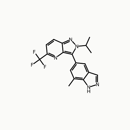 Cc1cc(-c2c3nc(C(F)(F)F)ccc3nn2C(C)C)cc2cn[nH]c12